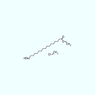 C=CCl.C=COC(=O)CCCCCCCCCCCCCCCCCCCCCCCCC